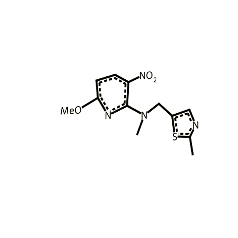 COc1ccc([N+](=O)[O-])c(N(C)Cc2cnc(C)s2)n1